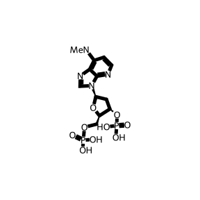 CNc1ccnc2c1ncn2[C@H]1C[C@H](OP(=O)(O)O)[C@@H](COP(=O)(O)O)O1